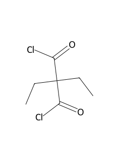 CCC(CC)(C(=O)Cl)C(=O)Cl